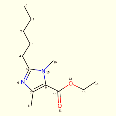 CCCCCc1nc(C)c(C(=O)OCC)n1C